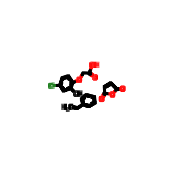 C=Cc1ccccc1.Cc1cc(Cl)ccc1OCC(=O)O.O=C1C=CC(=O)O1